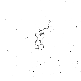 C/C(=C/CCC(C)[C@@H]1CC[C@]2(C)C3=CCC4C(C)(C)CCC[C@]4(C)C3CC[C@@]12N)CO